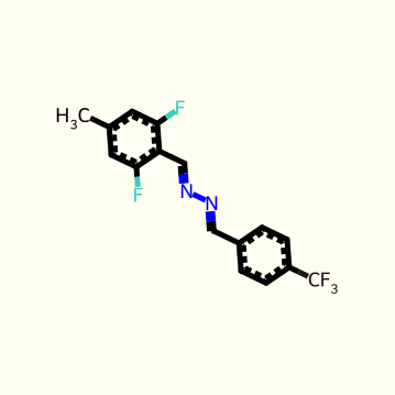 Cc1cc(F)c(C=NN=Cc2ccc(C(F)(F)F)cc2)c(F)c1